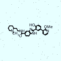 COc1ncccc1-c1ccc(O)c(-c2nc3cc(C(=O)NCCC4CCCCN4C)ccc3[nH]2)c1